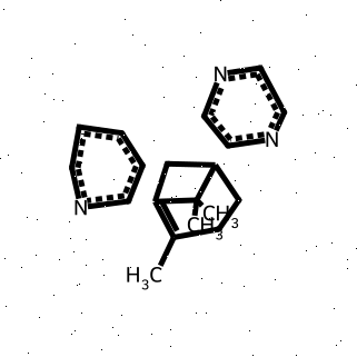 CC1=C2CC(CC1)C2(C)C.c1ccncc1.c1cnccn1